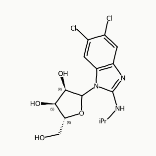 CC(C)Nc1nc2cc(Cl)c(Cl)cc2n1C1O[C@H](CO)[C@@H](O)[C@H]1O